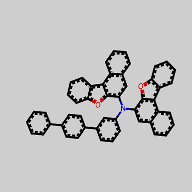 c1ccc(-c2ccc(-c3cccc(N(c4cc5ccccc5c5c4oc4ccccc45)c4cc5ccccc5c5c4oc4ccccc45)c3)cc2)cc1